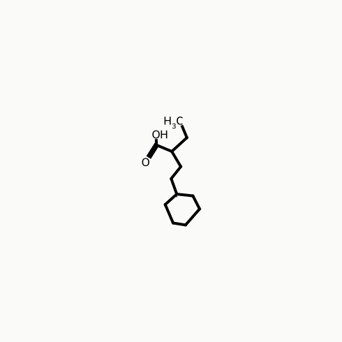 CCC(CC[C]1CCCCC1)C(=O)O